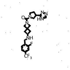 O=C(N1CCC(c2nnc[nH]2)C1)N1CC2(CC(NCc3ccc(C(F)(F)F)cc3F)C2)C1